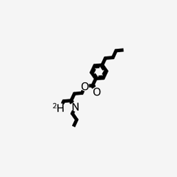 [2H]CC(CCOC(=O)c1ccc(CCCC)cc1)=NCCC